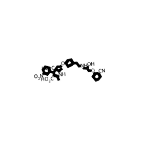 CC1=C(C(=O)O)C(c2cccc([N+](=O)[O-])c2)C(CCOc2ccc(CCNCC(O)COc3ccccc3C#N)cc2)(C(=O)O)C(C)N1